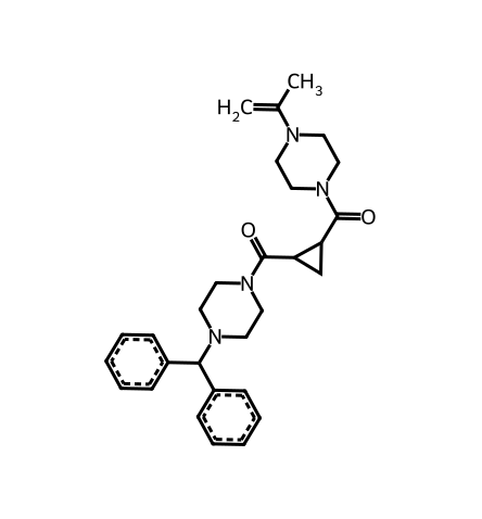 C=C(C)N1CCN(C(=O)C2CC2C(=O)N2CCN(C(c3ccccc3)c3ccccc3)CC2)CC1